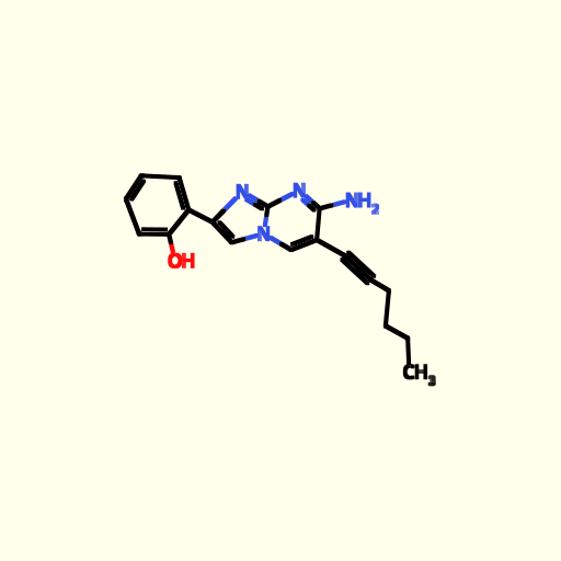 CCCCC#Cc1cn2cc(-c3ccccc3O)nc2nc1N